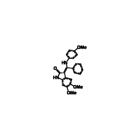 COc1ccc(N/C(=C2\C(=O)Nc3cc(OC)c(OC)cc32)c2ccccc2)cc1